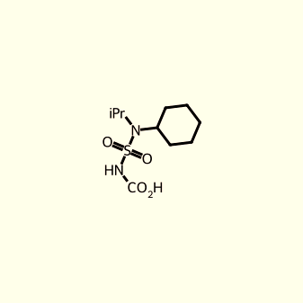 CC(C)N(C1CCCCC1)S(=O)(=O)NC(=O)O